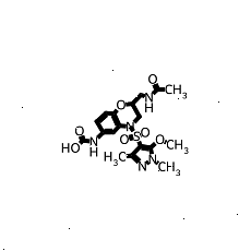 COc1c(S(=O)(=O)N2CC(CNC(C)=O)Oc3ccc(NC(=O)O)cc32)c(C)nn1C